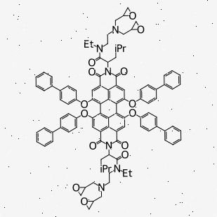 CCN(CCN(CC1CO1)CC1CO1)C(=O)C(CC(C)C)N1C(=O)c2cc(Oc3ccc(-c4ccccc4)cc3)c3c4c(Oc5ccc(-c6ccccc6)cc5)cc5c6c(cc(Oc7ccc(-c8ccccc8)cc7)c(c7c(Oc8ccc(-c9ccccc9)cc8)cc(c2c37)C1=O)c64)C(=O)N(C(CC(C)C)C(=O)N(CC)CCN(CC1CO1)CC1CO1)C5=O